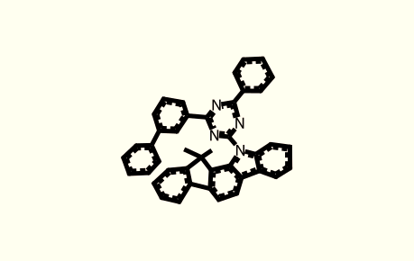 CC1(C)c2ccccc2-c2ccc3c4ccccc4n(-c4nc(-c5ccccc5)nc(-c5cccc(-c6ccccc6)c5)n4)c3c21